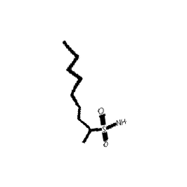 CCCCCCCC(C)S([NH])(=O)=O